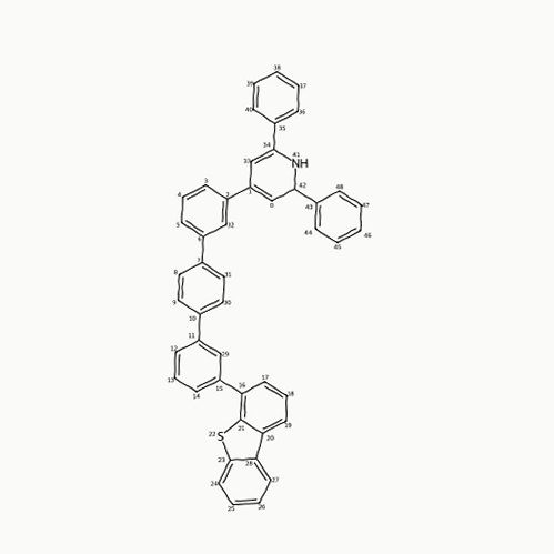 C1=C(c2cccc(-c3ccc(-c4cccc(-c5cccc6c5sc5ccccc56)c4)cc3)c2)C=C(c2ccccc2)NC1c1ccccc1